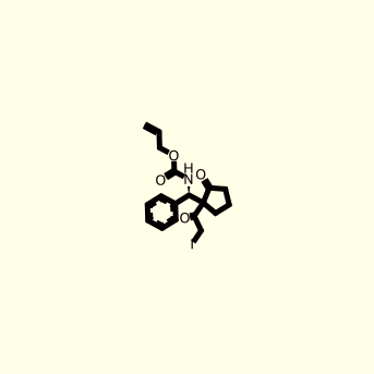 C=CCOC(=O)N[C@@H](c1ccccc1)C1(C(=O)CI)CCCC1=O